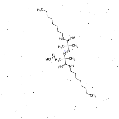 CCCCCCCCNC(=N)C(C)(C)/N=N/C(C)(C)C(=N)NCCCCCCCC.Cl.Cl